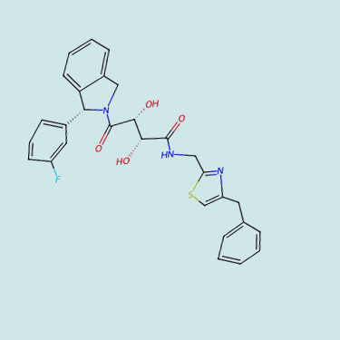 O=C(NCc1nc(Cc2ccccc2)cs1)[C@H](O)[C@@H](O)C(=O)N1Cc2ccccc2[C@H]1c1cccc(F)c1